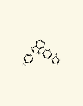 [Ru].c1ccc2[nH]cnc2c1.c1ccncc1.c1ccncc1.c1cn[nH]c1